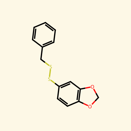 c1ccc(CSSc2ccc3c(c2)OCO3)cc1